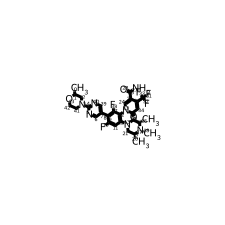 CC1CN(c2ncc(-c3c(F)cc(N4C[C@@H](C)N(C)[C@@H](C)C4)c(-n4cc(C(N)=O)c(C(F)(F)F)cc4=O)c3F)cn2)CCO1